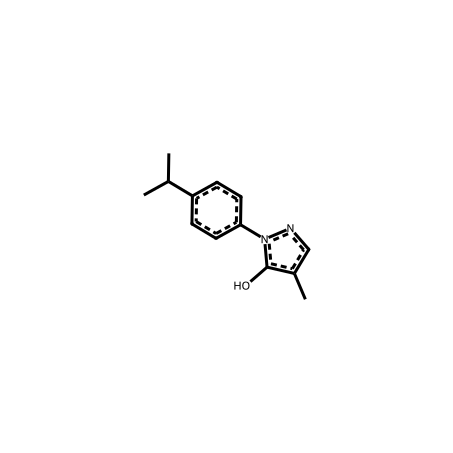 Cc1cnn(-c2ccc(C(C)C)cc2)c1O